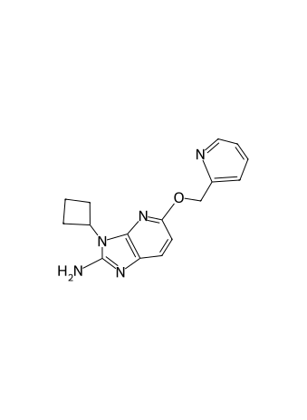 Nc1nc2ccc(OCc3ccccn3)nc2n1C1CCC1